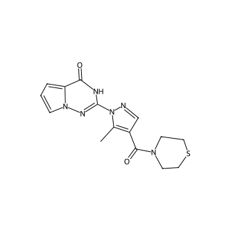 Cc1c(C(=O)N2CCSCC2)cnn1-c1nn2cccc2c(=O)[nH]1